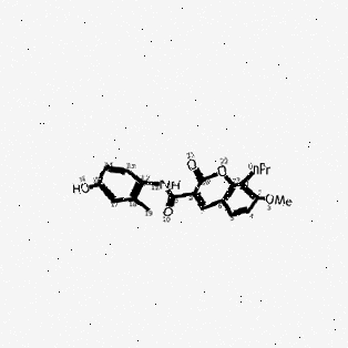 CCCc1c(OC)ccc2cc(C(=O)Nc3ccc(O)cc3C)c(=O)oc12